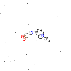 C[C@@H](Cc1ccc(C(F)(F)F)nc1)CN1CC2(CCS(=O)(=O)CC2)C1